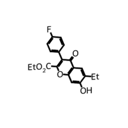 CCOC(=O)c1oc2cc(O)c(CC)cc2c(=O)c1-c1ccc(F)cc1